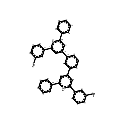 Brc1cccc(-c2cc(-c3cccc(-c4cc(-c5ccccc5)nc(-c5cccc(Br)c5)c4)c3)cc(-c3ccccc3)n2)c1